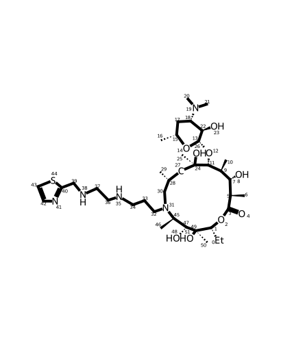 CC[C@H]1OC(=O)[C@H](C)[C@@H](O)[C@H](C)[C@@H](O[C@@H]2O[C@H](C)C[C@H](N(C)C)[C@H]2O)[C@](C)(O)C[C@@H](C)CN(CCCNCCNCc2nccs2)[C@H](C)[C@@H](O)[C@]1(C)O